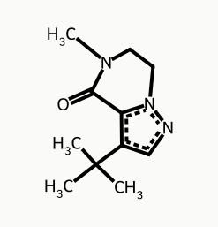 CN1CCn2ncc(C(C)(C)C)c2C1=O